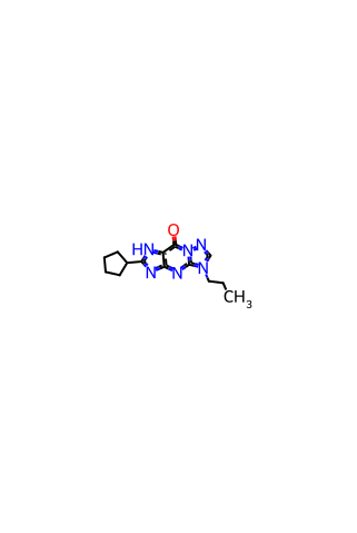 CCCn1cnn2c(=O)c3[nH]c(C4CCCC4)nc3nc12